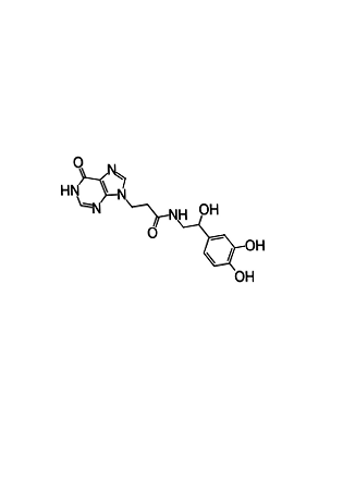 O=C(CCn1cnc2c(=O)[nH]cnc21)NCC(O)c1ccc(O)c(O)c1